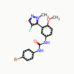 COc1ccc(NC(=O)Nc2ccc(Br)cc2)cc1-c1c(F)cnn1C